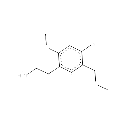 COCc1cc(CCN)c(OC)cc1Br